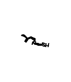 C=C(C)/C=C\N=C/S